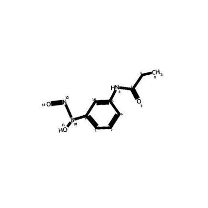 CCC(=O)Nc1cccc(B(O)N=O)c1